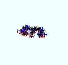 COC(=O)NC(C(=O)N1CCC[C@H]1c1ncc(-c2ccc3c(c2)cc2n3C(c3ccc4c(c3)CCCO4)Oc3cc(-c4cnc([C@@H]5CCCN5C(=O)[C@@H](NC(=O)OC)C(C)C)[nH]4)cc(C)c3-2)[nH]1)C1C[C@@H](C)O[C@@H](C)C1